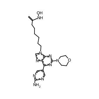 C=C(CCCCCCn1cnc2c(-c3cnc(N)nc3)nc(N3CCOCC3)nc21)NO